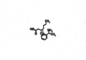 CC(N)c1ccccc1.CCCC[C@H](C)CC(=O)O